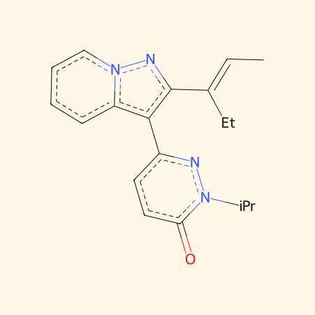 CC=C(CC)c1nn2ccccc2c1-c1ccc(=O)n(C(C)C)n1